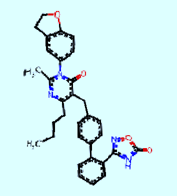 CCCCc1nc(C)n(-c2ccc3c(c2)CCO3)c(=O)c1Cc1ccc(-c2ccccc2-c2noc(=O)[nH]2)cc1